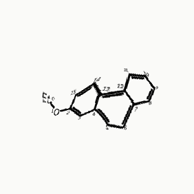 CCOc1[c]c2ccc3ccccc3c2cc1